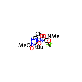 CNC(=O)C(=O)[C@H](CCC(C)(F)F)NC(=O)[C@@H]1[C@@H](C(F)(F)F)CCN1C(=O)[C@@H](NC(=O)OC)C(C)(C)C